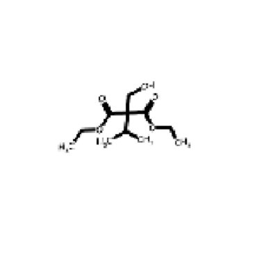 CCOC(=O)C(CO)(C(=O)OCC)C(C)C